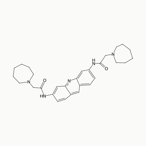 O=C(CN1CCCCCC1)Nc1ccc2cc3ccc(NC(=O)CN4CCCCCC4)cc3nc2c1